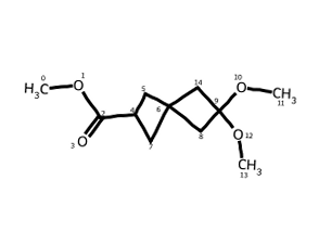 COC(=O)C1CC2(C1)CC(OC)(OC)C2